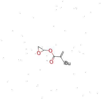 C=C(C(=O)OC1CO1)C(C)CC